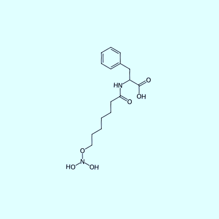 O=C(CCCCCCON(O)O)NC(Cc1ccccc1)C(=O)O